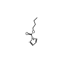 CCCCOC(=O)n1[c]ccc1